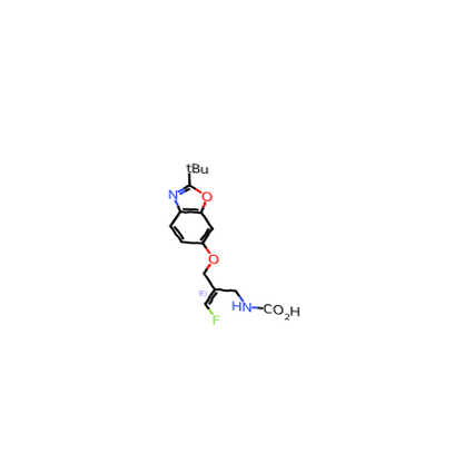 CC(C)(C)c1nc2ccc(OC/C(=C/F)CNC(=O)O)cc2o1